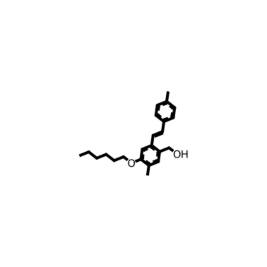 CCCCCCOc1cc(/C=C/c2ccc(C)cc2)c(CO)cc1C